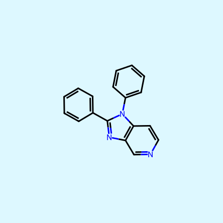 c1ccc(-c2nc3cnccc3n2-c2ccccc2)cc1